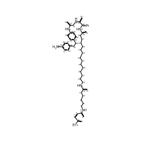 C=C(/C=C\C(=C)NCCCCCC(=C)NCCCCCCCCCCCCCCC(=C)NC(C(=C)NCC(=C)Nc1ccc(CCc2ccc(N)cc2)cc1)C(C)C)CC